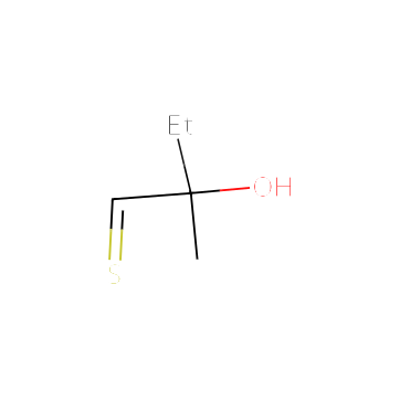 [CH2]CC(C)(O)C=S